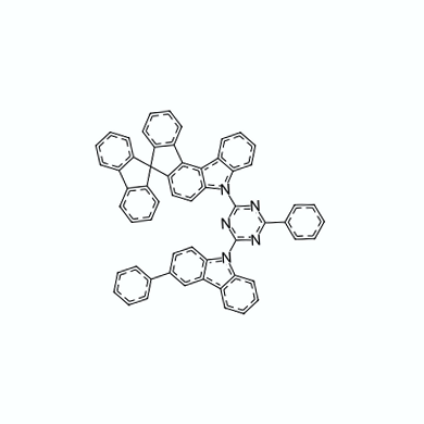 c1ccc(-c2ccc3c(c2)c2ccccc2n3-c2nc(-c3ccccc3)nc(-n3c4ccccc4c4c5c(ccc43)C3(c4ccccc4-c4ccccc43)c3ccccc3-5)n2)cc1